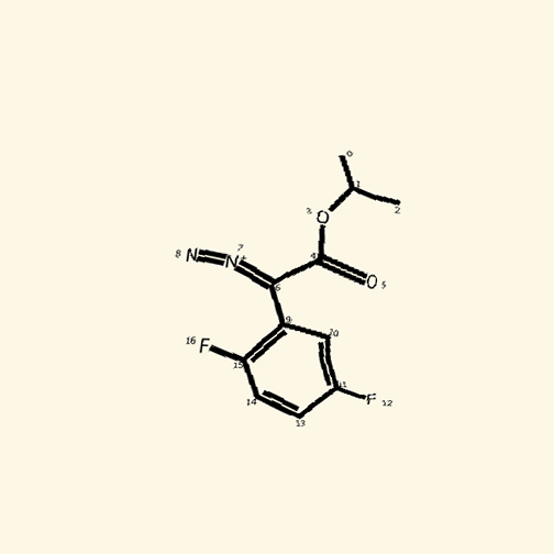 CC(C)OC(=O)C(=[N+]=[N-])c1cc(F)ccc1F